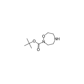 CC(C)(C)OC(=O)N1CCNCCO1